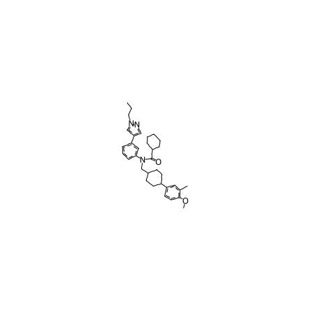 CCCn1cc(-c2cccc(N(CC3CCC(c4ccc(OC)c(C)c4)CC3)C(=O)C3CCCCC3)c2)cn1